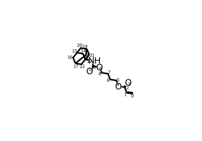 C=CC(=O)OCCCCOC(=O)NC12CC3CC(CC(C3)C1)C2